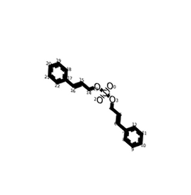 O=S(=O)(OCC=Cc1ccccc1)OCC=Cc1ccccc1